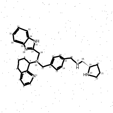 c1cnc2c(c1)CCCC2N(Cc1ccc(CNC[C@@H]2CCCN2)cc1)Cc1nc2ccccc2[nH]1